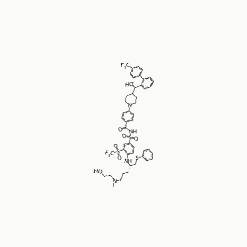 CN(CCO)CCC[C@@H](CSc1ccccc1)Nc1ccc(S(=O)(=O)NC(=O)c2ccc(N3CCC([C@@H](O)c4ccccc4-c4ccc(C(F)(F)F)cc4)CC3)cc2)cc1S(=O)(=O)C(F)(F)F